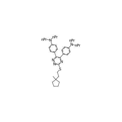 CCCN(CCC)c1ccc(-c2nnc(SCCC3(C)CCCC3)nc2-c2ccc(N(CCC)CCC)cc2)cc1